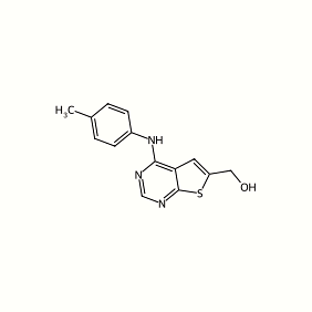 Cc1ccc(Nc2ncnc3sc(CO)cc23)cc1